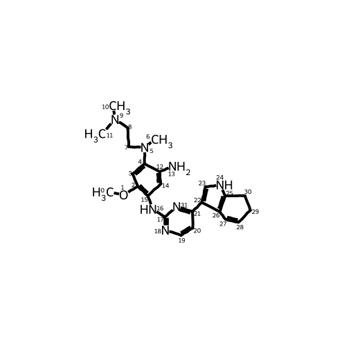 COc1cc(N(C)CCN(C)C)c(N)cc1Nc1nccc(-c2c[nH]c3c2C=CCC3)n1